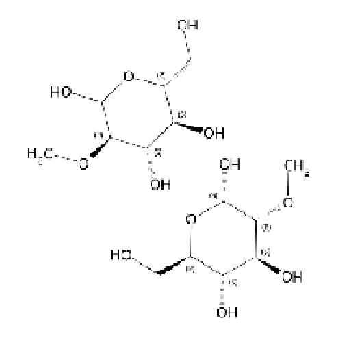 CO[C@@H]1[C@@H](O)[C@H](O)[C@@H](CO)O[C@@H]1O.CO[C@H]1C(O)O[C@H](CO)[C@@H](O)[C@@H]1O